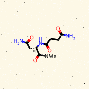 CNC(=O)[C@H](CC(N)=O)NC(=O)CCC(N)=O